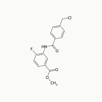 COC(=O)c1ccc(F)c(NC(=O)c2ccc(CCl)cc2)c1